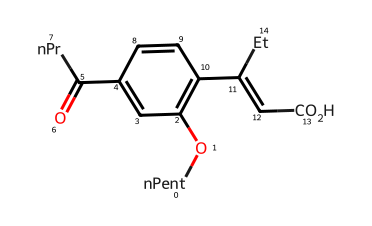 CCCCCOc1cc(C(=O)CCC)ccc1C(=CC(=O)O)CC